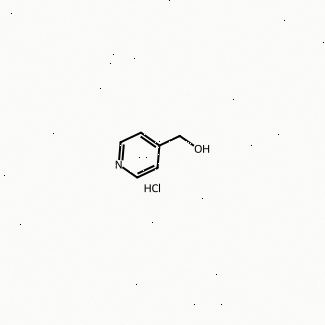 Cl.OCc1ccncc1